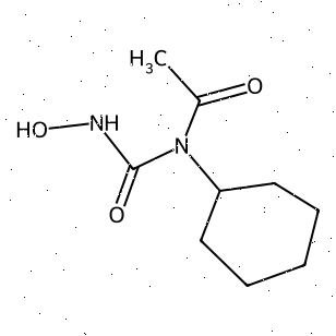 CC(=O)N(C(=O)NO)C1CCCCC1